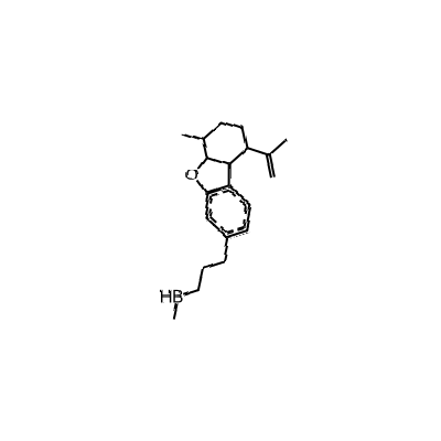 C=C(C)C1CCC(C)C2Oc3cc(CCCBC)ccc3C12